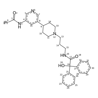 CC(C)C(=O)Nc1cncc(C2CCN(CCCNC(=O)C(O)(c3ccccc3)c3ccccc3)CC2)c1